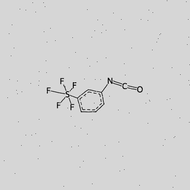 O=C=Nc1cccc(S(F)(F)(F)(F)F)c1